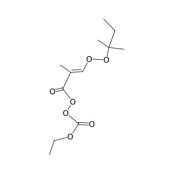 CCOC(=O)OOC(=O)C(C)=COOC(C)(C)CC